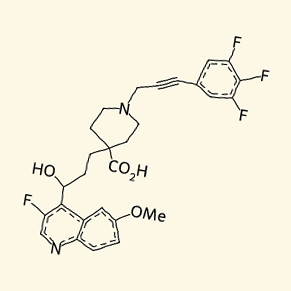 COc1ccc2ncc(F)c(C(O)CCC3(C(=O)O)CCN(CC#Cc4cc(F)c(F)c(F)c4)CC3)c2c1